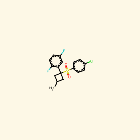 CC1CC(c2cc(F)ccc2F)(S(=O)(=O)c2ccc(Cl)cc2)C1